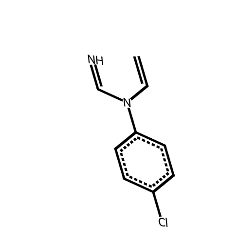 C=CN(C=N)c1ccc(Cl)cc1